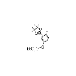 CCOC(=O)[C@@H]1C[C@@H]1c1ccc(C)c(B2OC(C)(C)C(C)(C)O2)c1